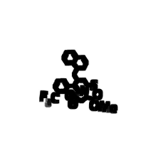 COC(=O)C1CS(=O)(=O)c2c(-c3cccc(C(F)(F)F)c3)c(Cc3cccc4ccccc34)cc(=S)n21